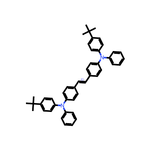 CC(C)(C)c1ccc(N(c2ccccc2)c2ccc(/C=C/c3ccc(N(c4ccccc4)c4ccc(C(C)(C)C)cc4)cc3)cc2)cc1